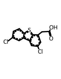 O=C(O)Cc1cc(Cl)cc2c1sc1ccc(Cl)cc12